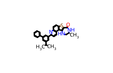 CC(C)c1cc(-c2ccccc2)cc(-c2ccc3c(ccc4sc5c(c43)NC[C@@H](C)NC5=O)n2)c1